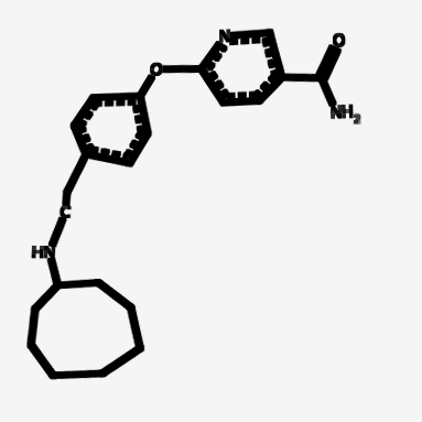 NC(=O)c1ccc(Oc2ccc(CCNC3CCCCCCC3)cc2)nc1